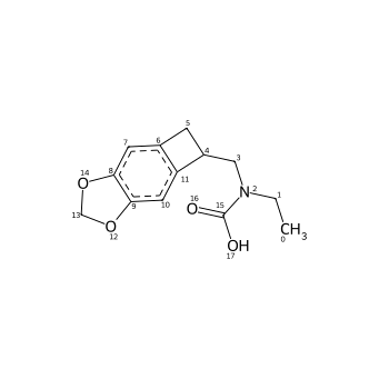 CCN(CC1Cc2cc3c(cc21)OCO3)C(=O)O